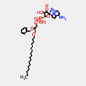 CCCCCCCCCCCCCCCCCCOC[C@H](COP(=O)(O)OC[C@H]1O[C@@](C#N)(c2ccc3c(N)ccnn23)[C@H](O)[C@@H]1O)OCc1ccccc1